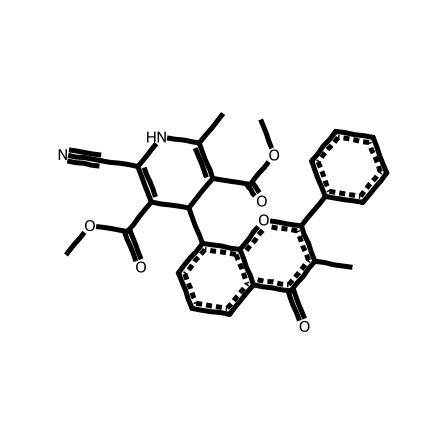 COC(=O)C1=C(C)NC(C#N)=C(C(=O)OC)C1c1cccc2c(=O)c(C)c(-c3ccccc3)oc12